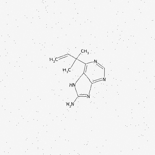 C=CC(C)(C)c1ncnc2nc(N)[nH]c12